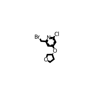 Clc1cc(O[C@@H]2CCOC2)cc(CBr)n1